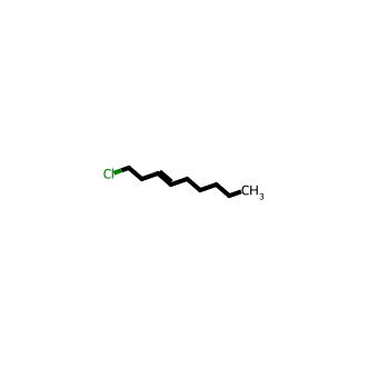 CCCCC/C=C/CCCl